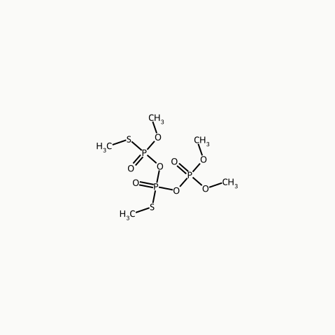 COP(=O)(OC)OP(=O)(OP(=O)(OC)SC)SC